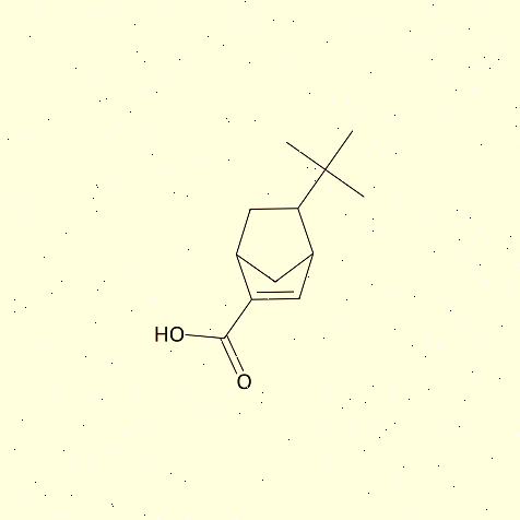 CC(C)(C)C1CC2CC1C=C2C(=O)O